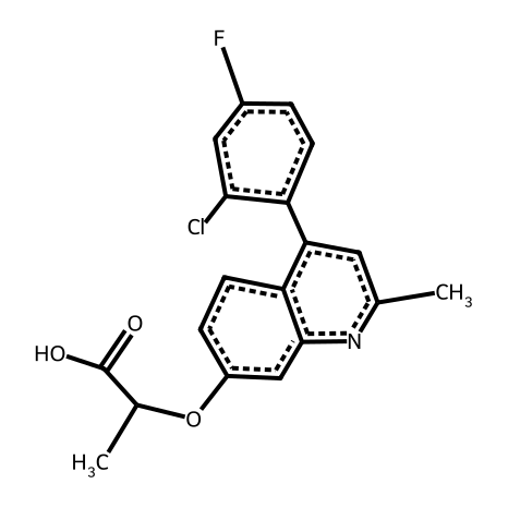 Cc1cc(-c2ccc(F)cc2Cl)c2ccc(OC(C)C(=O)O)cc2n1